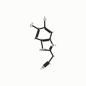 N#CCc1nc2cc(Cl)c(Cl)cc2[nH]1